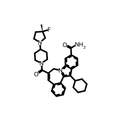 C[C@]1(F)CCN(C2CCN(C(=O)C3=Cc4ccccc4-c4c(C5CCCCC5)c5ccc(C(N)=O)cc5n4C3)CC2)C1